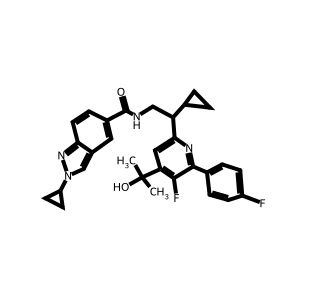 CC(C)(O)c1cc(C(CNC(=O)c2ccc3nn(C4CC4)cc3c2)C2CC2)nc(-c2ccc(F)cc2)c1F